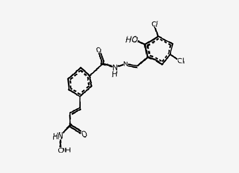 O=C(/C=C/c1cccc(C(=O)N/N=C/c2cc(Cl)cc(Cl)c2O)c1)NO